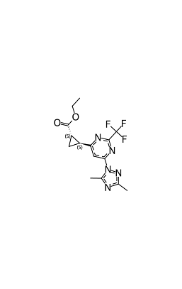 CCOC(=O)[C@H]1C[C@@H]1c1cc(-n2nc(C)nc2C)nc(C(F)(F)F)n1